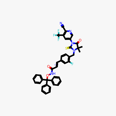 CC1(C)C(=O)N(c2cnc(C#N)c(C(F)(F)F)c2)C(=S)N1Cc1ccc(/C=C/C(=O)NOC(c2ccccc2)(c2ccccc2)c2ccccc2)cc1F